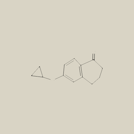 O=C1CCCc2cc(OC3CC3)ccc21